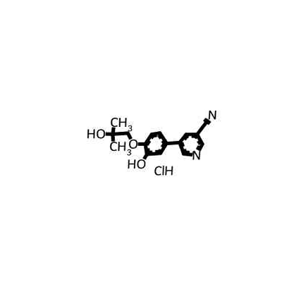 CC(C)(O)COc1ccc(-c2cncc(C#N)c2)cc1O.Cl